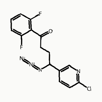 [N-]=[N+]=NC(CCC(=O)c1c(F)cccc1F)c1ccc(Cl)nc1